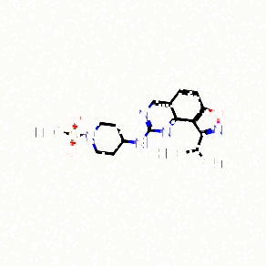 CC(C)c1noc2ccc3cnc(NC4CCN(S(C)(=O)=O)CC4)nc3c12